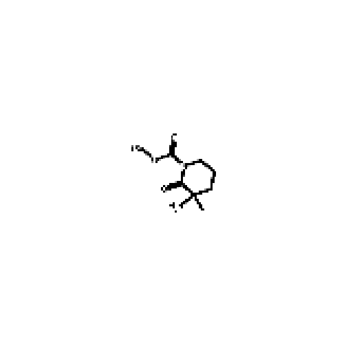 CC(C)(C)OC(=O)N1CCCC(C)(N)C1=O